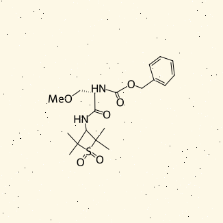 COC[C@H](NC(=O)OCc1ccccc1)C(=O)NC1C(C)(C)S(=O)(=O)C1(C)C